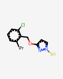 CC(C)c1cccc(Cl)c1COc1ccn(S)n1